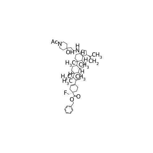 C=C(C)[C@@H]1CC[C@]2(NCCC3(O)CCN(C(C)=O)CC3)CC[C@]3(C)[C@H](CC[C@@H]4[C@@]5(C)CC=C(C6=CC[C@](CF)(C(=O)OCc7ccccc7)CC6)C(C)(C)[C@@H]5CC[C@]43C)[C@@H]12